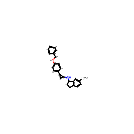 COc1ccc2c(c1)C(NC1CC1c1ccc(OCc3ccccc3)cc1)CC2